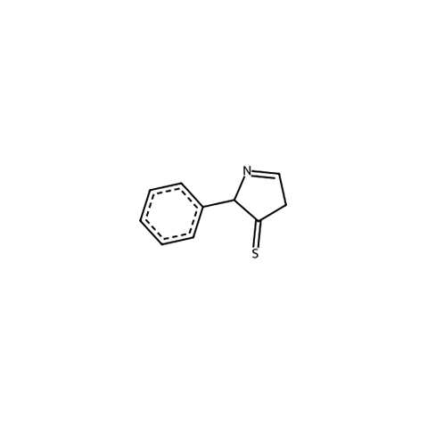 S=C1CC=NC1c1ccccc1